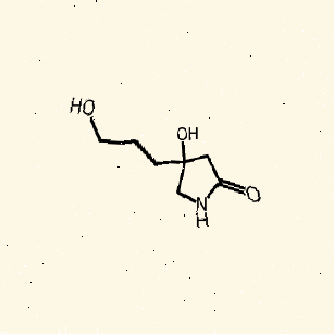 O=C1CC(O)(CCCO)CN1